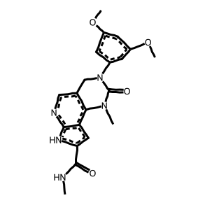 CNC(=O)c1cc2c3c(cnc2[nH]1)CN(c1cc(OC)cc(OC)c1)C(=O)N3C